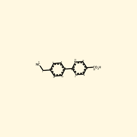 N#CCc1ccc(-c2ncc(C(=O)O)cn2)cc1